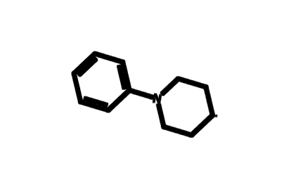 [CH]1CCN(c2ccccc2)CC1